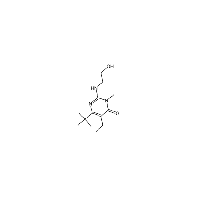 CCc1c(C(C)(C)C)nc(NCCO)n(C)c1=O